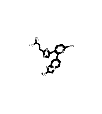 Cc1cn2ccc(-c3nc(C#N)ccc3-c3cnc(CCC(O)C(F)(F)F)o3)cc2n1